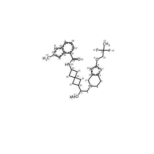 COC(CN1CCc2sc(OCC(C)(F)F)nc2C1)C1CC2(CC(NC(=O)c3cccc4nn(C)cc34)C2)C1